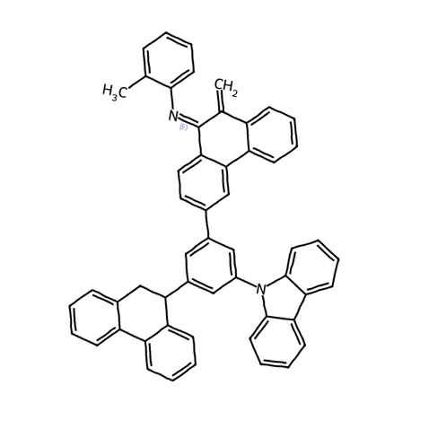 C=C1/C(=N\c2ccccc2C)c2ccc(-c3cc(C4Cc5ccccc5-c5ccccc54)cc(-n4c5ccccc5c5ccccc54)c3)cc2-c2ccccc21